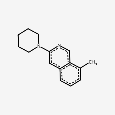 Cc1cccc2cc(N3CCCCC3)ncc12